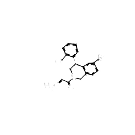 C=CC(=O)N1Cc2ccc(Br)cc2[C@H](c2ccccc2Cl)C1